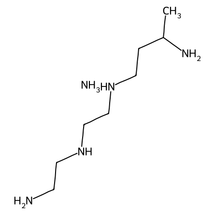 CC(N)CCNCCNCCN.N